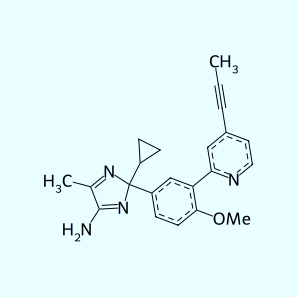 CC#Cc1ccnc(-c2cc(C3(C4CC4)N=C(C)C(N)=N3)ccc2OC)c1